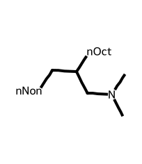 CCCCCCCCCCC(CCCCCCCC)CN(C)C